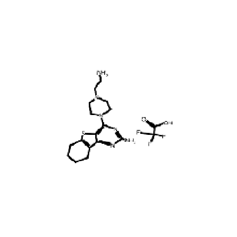 NCCN1CCN(c2nc(N)nc3c4c(sc23)CCCC4)CC1.O=C(O)C(F)(F)F